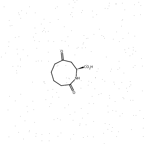 O=C1CCCCC(=O)N[C@H](C(=O)O)C1